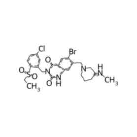 CCS(=O)(=O)c1ccc(Cl)cc1Cn1c(=O)[nH]c2cc(CN3CCC[C@@H](NC)C3)c(Br)cc2c1=O